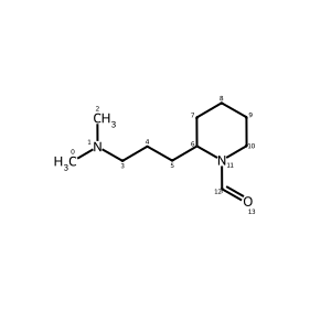 CN(C)CCCC1CCCCN1[C]=O